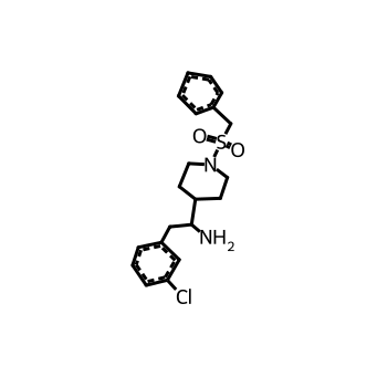 NC(Cc1cccc(Cl)c1)C1CCN(S(=O)(=O)Cc2ccccc2)CC1